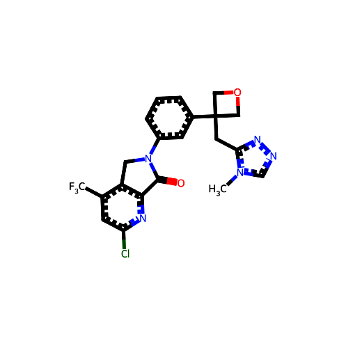 Cn1cnnc1CC1(c2cccc(N3Cc4c(C(F)(F)F)cc(Cl)nc4C3=O)c2)COC1